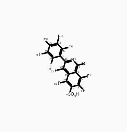 O=S(=O)(O)c1c(F)c(F)c2c(Cl)nc(-c3c(F)c(F)c(F)c(F)c3F)c(F)c2c1F